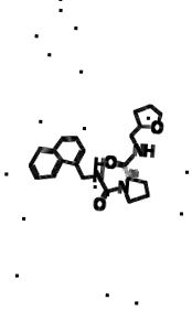 O=C(NCC1CCCO1)[C@@H]1CCCN1C(=O)NCc1cccc2ccccc12